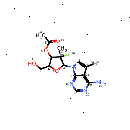 [3H]c1cn(C2OC(CO)C(OC(C)=O)[C@]2(C)F)c2ncnc(N)c12